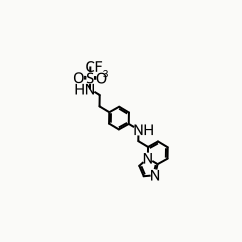 O=S(=O)(NCCc1ccc(NCc2cccc3nccn23)cc1)C(F)(F)F